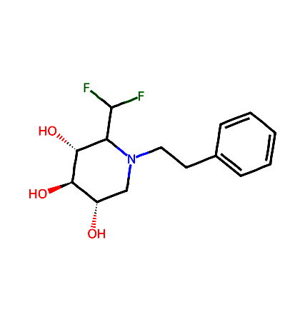 O[C@H]1[C@H](O)C(C(F)F)N(CCc2ccccc2)C[C@@H]1O